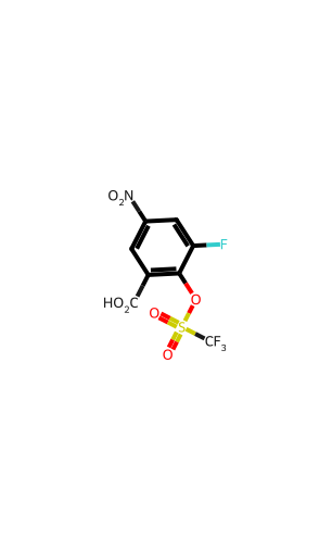 O=C(O)c1cc([N+](=O)[O-])cc(F)c1OS(=O)(=O)C(F)(F)F